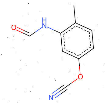 Cc1ccc(OC#N)cc1NC=O